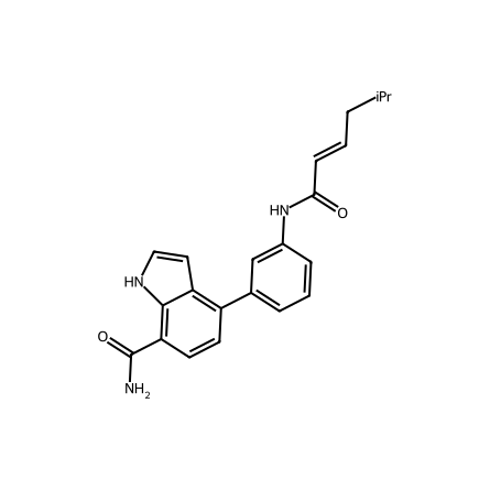 CC(C)CC=CC(=O)Nc1cccc(-c2ccc(C(N)=O)c3[nH]ccc23)c1